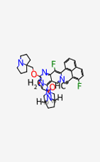 C#Cc1c(F)ccc2cccc(-c3ncc4c(N5C[C@H]6CC[C@@H](C5)N6C(=O)C=C)nc(OCC56CCCN5CCC6)nc4c3F)c12